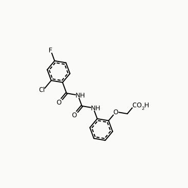 O=C(O)COc1ccccc1NC(=O)NC(=O)c1ccc(F)cc1Cl